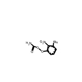 CC(C)(C)c1cccc(OOC(N)=O)c1[N+](=O)[O-]